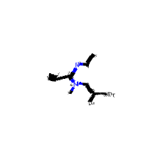 C#C/C(=N/C=C)N(C)/C=C(\C)C(C)C